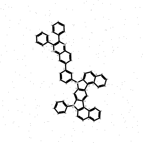 c1ccc(-c2nc3ccc(-c4cccc(-n5c6cc7c(cc6c6c8ccccc8ccc65)c5c6ccccc6ccc5n7-c5ccccc5)c4)cc3nc2-c2ccccc2)cc1